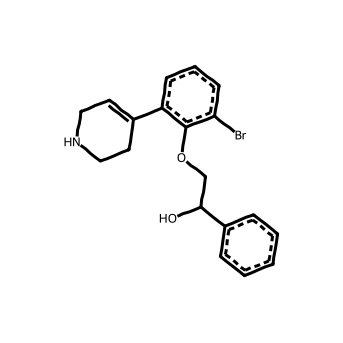 OC(COc1c(Br)cccc1C1=CCNCC1)c1ccccc1